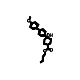 CCCCOC(=O)C1CCC(O)(c2ccc(-c3ccc(OC)cc3)cc2)CC1